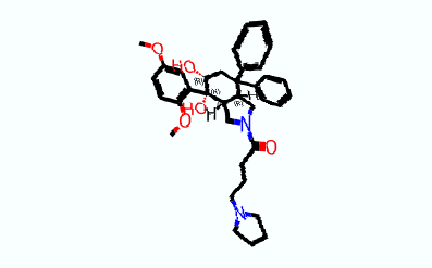 COc1ccc(OC)c([C@@]2(O)[C@H](O)CC(c3ccccc3)(c3ccccc3)[C@@H]3CN(C(=O)CCCN4CCCC4)C[C@@H]32)c1